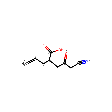 C=CCC(CC(=O)CC#N)C(=O)O